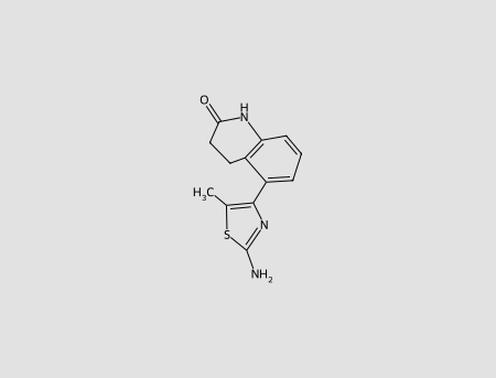 Cc1sc(N)nc1-c1cccc2c1CCC(=O)N2